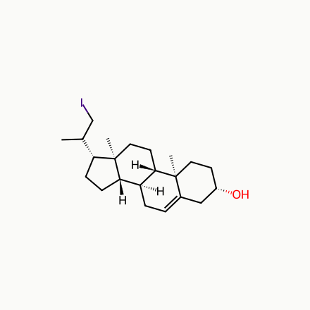 CC(CI)[C@H]1CC[C@H]2[C@@H]3CC=C4C[C@@H](O)CC[C@]4(C)[C@H]3CC[C@]12C